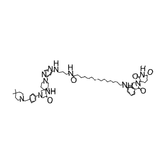 CC1(C)CCN(Cc2ccc(N3CC(=O)NC4(CCN(c5cc(NCCCNC(=O)CCCCCCCCCCCCCCNc6cccc7c6CN(C6CCC(=O)NC6=O)C7=O)ncn5)CC4)C3)cc2)CC1